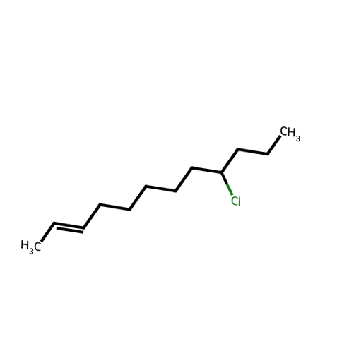 CC=CCCCCCC(Cl)CCC